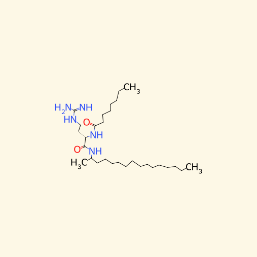 CCCCCCCCCCCCCCC(C)NC(=O)[C@H](CCNC(=N)N)NC(=O)CCCCCCC